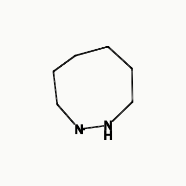 C1CCCN[N]CC1